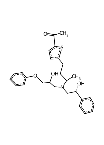 CC(=O)c1ccc(CCC(C)N(CC(O)COc2ccccc2)C[C@H](O)c2ccccc2)s1